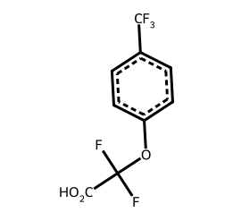 O=C(O)C(F)(F)Oc1ccc(C(F)(F)F)cc1